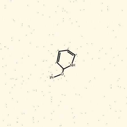 CC(C)OC1C=CC=[C]N1